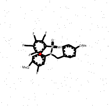 COc1ccc(CN(c2ccc(OC)c(F)c2)S(=N)(=O)c2c(F)c(F)c(F)c(F)c2F)cc1